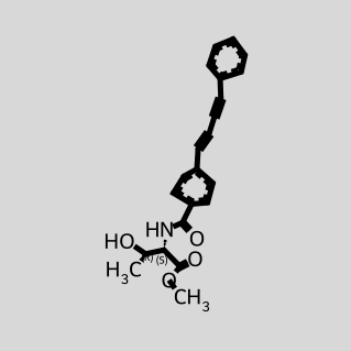 COC(=O)[C@@H](NC(=O)c1ccc(C#CC#Cc2ccccc2)cc1)[C@@H](C)O